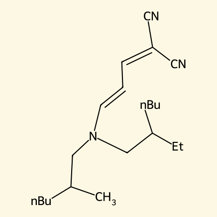 CCCCC(C)CN(C=CC=C(C#N)C#N)CC(CC)CCCC